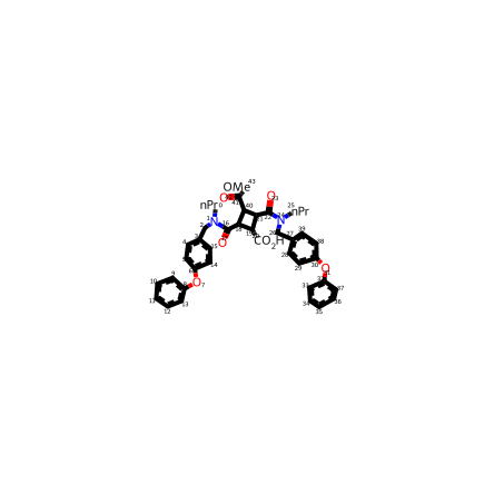 CCCN(Cc1ccc(Oc2ccccc2)cc1)C(=O)C1C(C(=O)O)C(C(=O)N(CCC)Cc2ccc(Oc3ccccc3)cc2)C1C(=O)OC